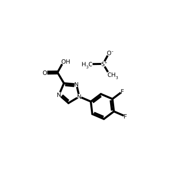 C[S+](C)[O-].O=C(O)c1ncn(-c2ccc(F)c(F)c2)n1